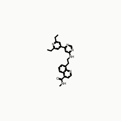 CCc1cc(-c2cc(NCCc3cccc4c(C(=O)NC)ccnc34)ncn2)cc(CC)n1